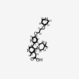 Cc1ncc(-c2ccc(OCCOc3ccncc3)cn2)c(N2CCC(C)(C)CC2)c1CC(=O)O